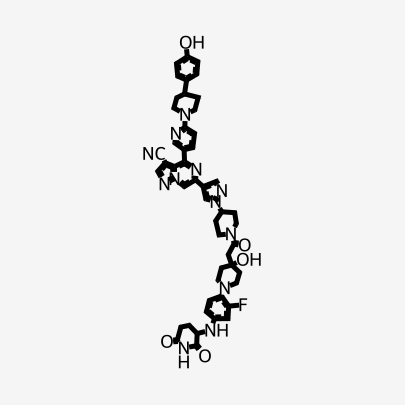 N#Cc1cnn2cc(-c3cnn(C4CCN(C(=O)CC5(O)CCN(c6ccc(NC7CCC(=O)NC7=O)cc6F)CC5)CC4)c3)nc(-c3ccc(N4CCC(c5ccc(O)cc5)CC4)nc3)c12